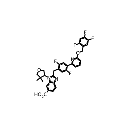 CC1(C)COCC1n1c(Cc2cc(F)c(-c3cccc(OCc4cc(F)c(F)cc4F)n3)cc2F)nc2ccc(C(=O)O)cc21